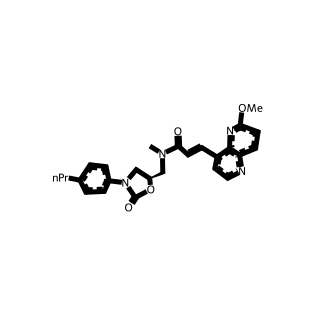 CCCc1ccc(N2C[C@@H](CN(C)C(=O)/C=C/c3ccnc4ccc(OC)nc34)OC2=O)cc1